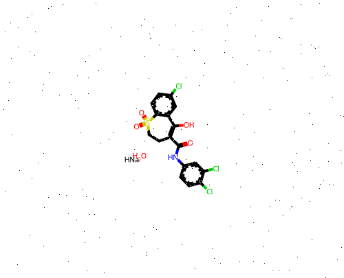 O.O=C(Nc1ccc(Cl)c(Cl)c1)C1=C(O)c2cc(Cl)ccc2S(=O)(=O)CC1.[NaH]